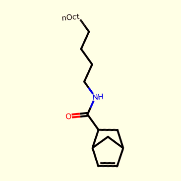 CCCCCCCCCCCCNC(=O)C1CC2C=CC1C2